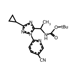 CC(NC(=O)OC(C)(C)C)c1nc(C2CC2)nn1-c1ccc(C#N)cn1